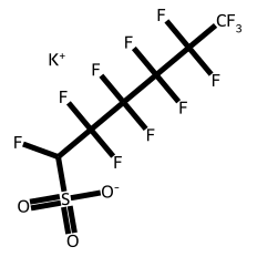 O=S(=O)([O-])C(F)C(F)(F)C(F)(F)C(F)(F)C(F)(F)C(F)(F)F.[K+]